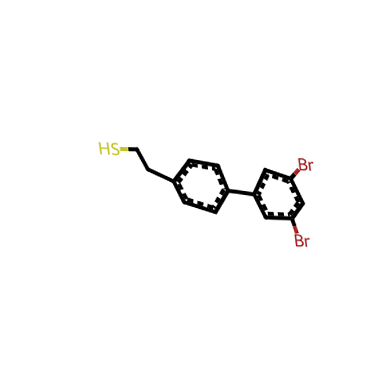 SCCc1ccc(-c2cc(Br)cc(Br)c2)cc1